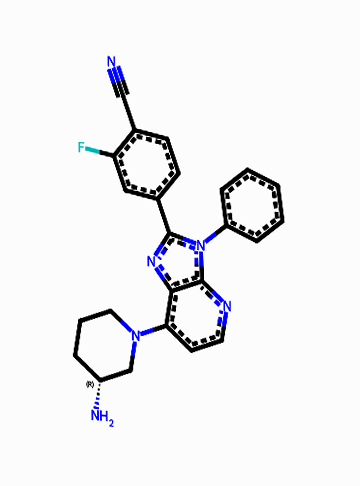 N#Cc1ccc(-c2nc3c(N4CCC[C@@H](N)C4)ccnc3n2-c2ccccc2)cc1F